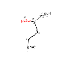 CNCC[C@H](O)C(=O)O